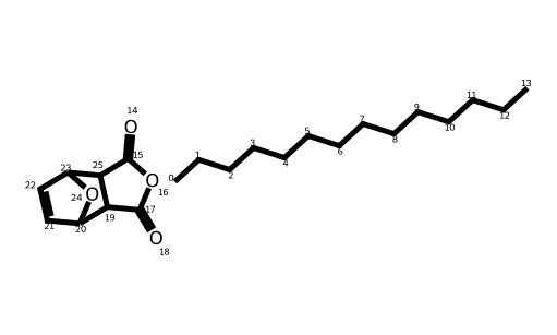 CCCCCCCCCCCCCC.O=C1OC(=O)C2C3C=CC(O3)C12